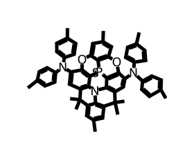 Cc1ccc(N(c2ccc(C)cc2)c2cc3c4c5c2Oc2cc(C)cc6c2P5(=S)c2c(c(N(c5ccc(C)cc5)c5ccc(C)cc5)cc5c2N4c2c(cc(C)cc2C5(C)C)C3(C)C)O6)cc1